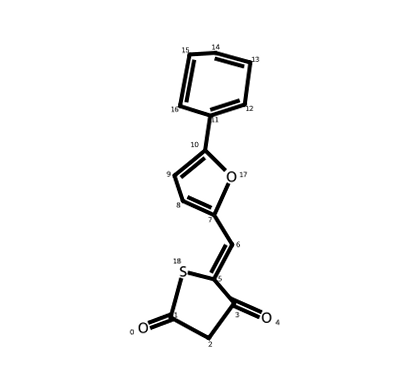 O=C1CC(=O)C(=Cc2ccc(-c3ccccc3)o2)S1